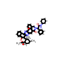 C[C@H]1CC[C@@H]2C(C)(C)Oc3c(c4nc5cc(C(=O)N(Cc6ccccc6)C(C(=O)NC6CCCCC6)c6ccccc6)ccc5nc4c4ccccc34)[C@@]2(C)C1